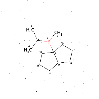 CB(C(C)C)C12CCCC1CCC2